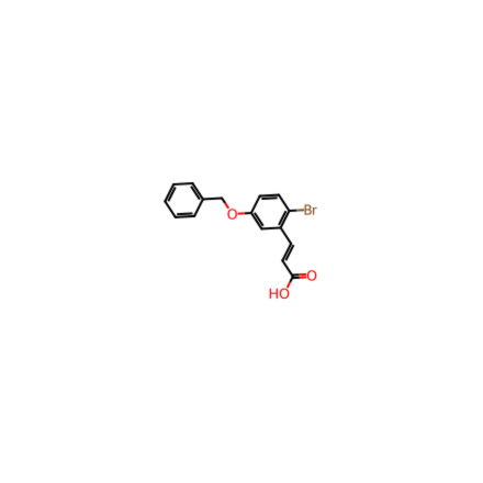 O=C(O)C=Cc1cc(OCc2ccccc2)ccc1Br